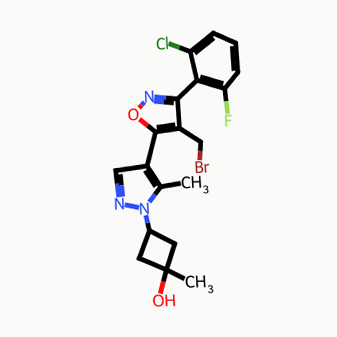 Cc1c(-c2onc(-c3c(F)cccc3Cl)c2CBr)cnn1C1CC(C)(O)C1